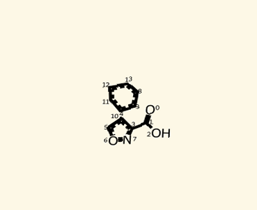 O=C(O)c1ccon1.c1ccccc1